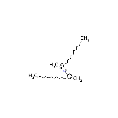 CCCCCCCCCCCCc1cc(C)sc1/C=C/c1sc(C)cc1CCCCCCCCCCCC